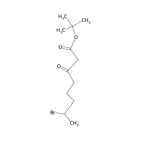 CC(Br)CCCC(=O)CC(=O)OC(C)(C)C